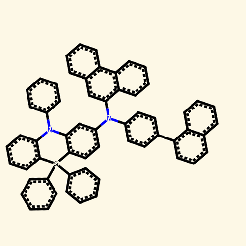 c1ccc(N2c3ccccc3[Si](c3ccccc3)(c3ccccc3)c3ccc(N(c4ccc(-c5cccc6ccccc56)cc4)c4cc5ccccc5c5ccccc45)cc32)cc1